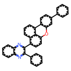 c1ccc(-c2ccc3c(c2)Oc2ccc(-c4nc5ccccc5nc4-c4ccccc4)c4cccc-3c24)cc1